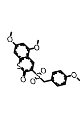 COc1ccc(CS(=O)(=O)c2cc3c(OC)cc(OC)cc3sc2=O)cc1